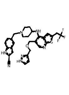 N#Cc1cc2cc(CN3CCC(Nc4c(COCc5cc[nH]n5)cnc5sc(CC(F)(F)F)cc45)CC3)ccc2[nH]1